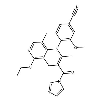 CCOc1ncc(C)c2c1CC(C(=O)n1ccnc1)=C(C)N2c1ccc(C#N)cc1OC